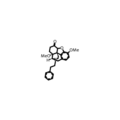 COc1ccc2c3c1OC1C(=O)CC[C@@]4(OC)[C@@H](C2)N(CCc2ccccc2)CC[C@]314